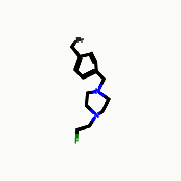 CC(C)Cc1ccc(CN2CCN(CCF)CC2)cc1